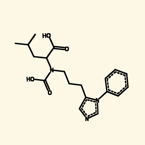 CC(C)CC(C(=O)O)N(CCCc1cncn1-c1ccccc1)C(=O)O